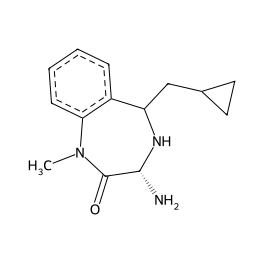 CN1C(=O)[C@@H](N)NC(CC2CC2)c2ccccc21